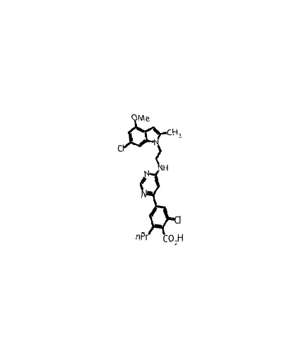 CCCc1cc(-c2cc(NCCn3c(C)cc4c(OC)cc(Cl)cc43)ncn2)cc(Cl)c1C(=O)O